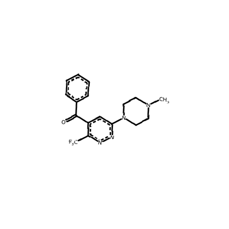 CN1CCN(c2cc(C(=O)c3ccccc3)c(C(F)(F)F)nn2)CC1